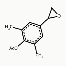 CC(=O)Oc1c(C)cc(C2CO2)cc1C